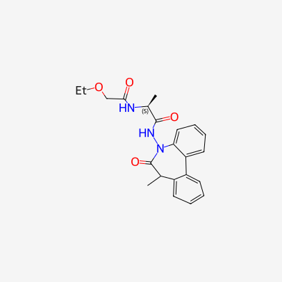 CCOCC(=O)N[C@@H](C)C(=O)NN1C(=O)C(C)c2ccccc2-c2ccccc21